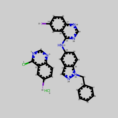 Cl.Clc1ncnc2ccc(I)cc12.Ic1ccc2ncnc(Nc3ccc4c(cnn4Cc4ccccc4)c3)c2c1